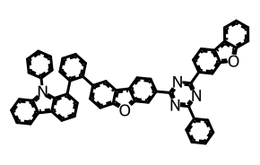 c1ccc(-c2nc(-c3ccc4c(c3)oc3ccccc34)nc(-c3ccc4c(c3)oc3ccc(-c5ccccc5-c5cccc6c7ccccc7n(-c7ccccc7)c56)cc34)n2)cc1